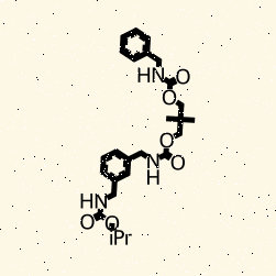 CC(C)OC(=O)NCc1cccc(CNC(=O)OCC(C)(C)COC(=O)NCc2ccccc2)c1